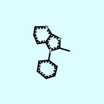 Cc1nc2ncccc2n1-c1c[c]ccc1